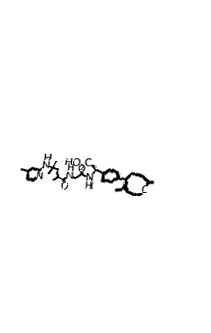 C=c1ccccc(=C)c(-c2ccc([C@H](CC(=O)O)NC(=O)CNC(=O)C(C)CC(C)(C)Nc3cc(C)ccn3)cc2)ccc1